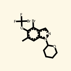 Cc1cc2c(cnn2C2CCCCO2)c(Br)c1OC(F)(F)Br